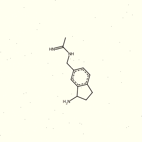 CC(=N)NCc1ccc2c(c1)C(N)CC2